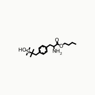 CCCCOC(=O)C(N)Cc1ccc(CC(C)(C)[Si](C)(C)O)cc1